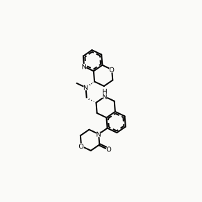 CN(C[C@H]1Cc2c(cccc2N2CCOCC2=O)CN1)[C@H]1CCOc2cccnc21